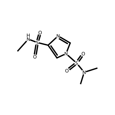 CNS(=O)(=O)c1cn(S(=O)(=O)N(C)C)cn1